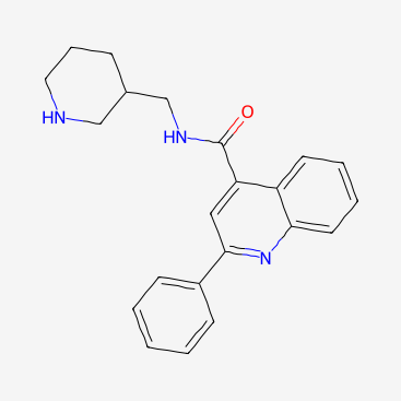 O=C(NCC1CCCNC1)c1cc(-c2ccccc2)nc2ccccc12